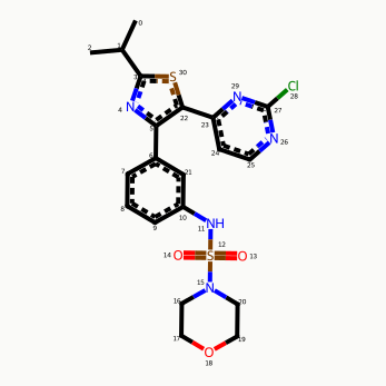 CC(C)c1nc(-c2cccc(NS(=O)(=O)N3CCOCC3)c2)c(-c2ccnc(Cl)n2)s1